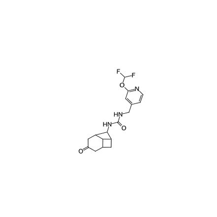 O=C1CC2CC3C(NC(=O)NCc4ccnc(OC(F)F)c4)C(C1)C23